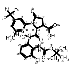 Cc1cc(C(F)(F)F)cc(N2C(=O)CC(C(=O)O)[C@H]2C(=O)N(C)c2cccc(Cl)c2NC(=O)OC(C)(C)C)n1